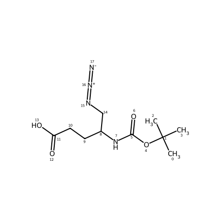 CC(C)(C)OC(=O)NC(CCC(=O)O)CN=[N+]=[N-]